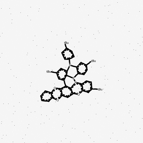 CC(C)(C)c1ccc(N2c3cc(C(C)(C)C)ccc3B3c4c(cc(C(C)(C)C)cc42)-c2c4oc5ccccc5oc4cc4oc5cc(C(C)(C)C)ccc5n3c24)cc1